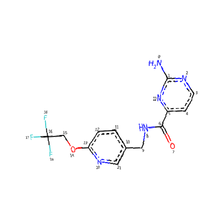 Nc1nccc(C(=O)NCc2ccc(OCC(F)(F)F)nc2)n1